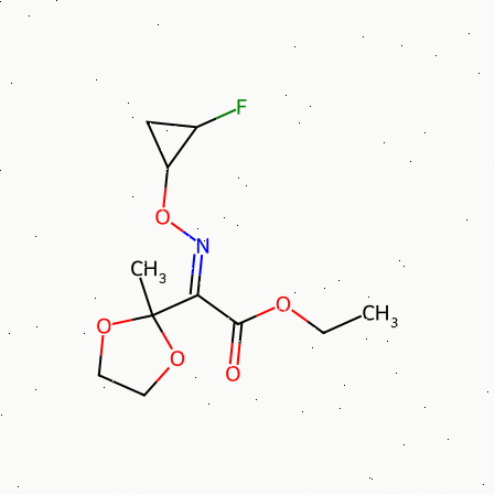 CCOC(=O)/C(=N/OC1CC1F)C1(C)OCCO1